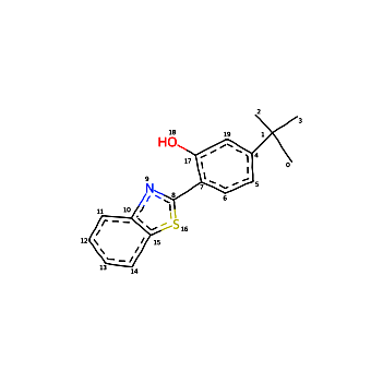 CC(C)(C)c1ccc(-c2nc3ccccc3s2)c(O)c1